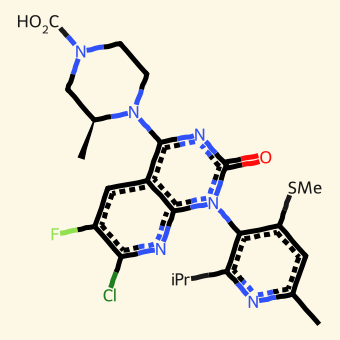 CSc1cc(C)nc(C(C)C)c1-n1c(=O)nc(N2CCN(C(=O)O)C[C@@H]2C)c2cc(F)c(Cl)nc21